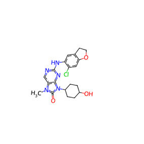 Cn1c(=O)n(C2CCC(O)CC2)c2nc(Nc3cc4c(cc3Cl)OCC4)ncc21